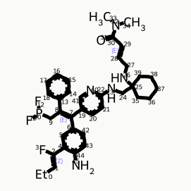 CC/C=C(\F)c1cc(/C(=C(\CP(F)F)c2ccccc2)c2ccc(NCC3(NC/C=C/C(=O)N(C)C)CCCCC3)nc2)ccc1N